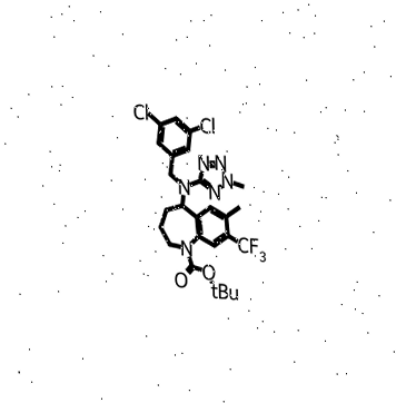 Cc1cc2c(cc1C(F)(F)F)N(C(=O)OC(C)(C)C)CCCC2N(Cc1cc(Cl)cc(Cl)c1)c1nnn(C)n1